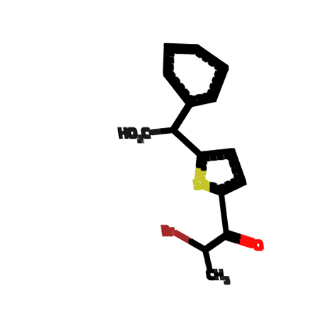 CC(Br)C(=O)c1ccc(C(C(=O)O)c2ccccc2)s1